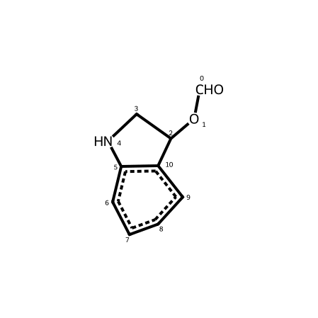 O=COC1CNc2ccccc21